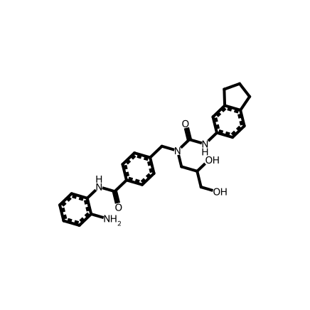 Nc1ccccc1NC(=O)c1ccc(CN(CC(O)CO)C(=O)Nc2ccc3c(c2)CCC3)cc1